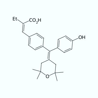 CCC(=Cc1ccc(C(=C2CC(C)(C)OC(C)(C)C2)c2ccc(O)cc2)cc1)C(=O)O